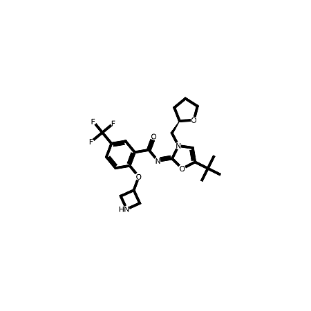 CC(C)(C)c1cn(C[C@H]2CCCO2)c(=NC(=O)c2cc(C(F)(F)F)ccc2OC2CNC2)o1